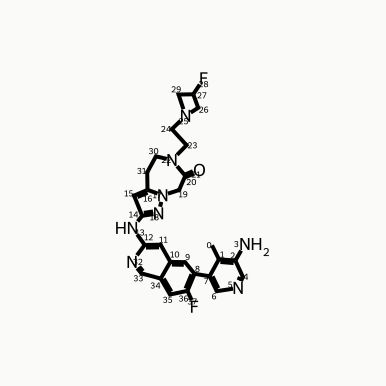 Cc1c(N)cncc1-c1cc2cc(Nc3cc4n(n3)CC(=O)N(CCN3CC(F)C3)CC4)ncc2cc1F